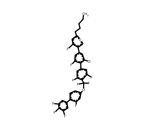 CCCCCc1ccc(-c2cc(F)c(-c3cc(F)c(C(F)(F)Oc4ccc(-c5cc(F)c(F)c(F)c5)c(F)c4)c(F)c3)c(Cl)c2)c(F)c1